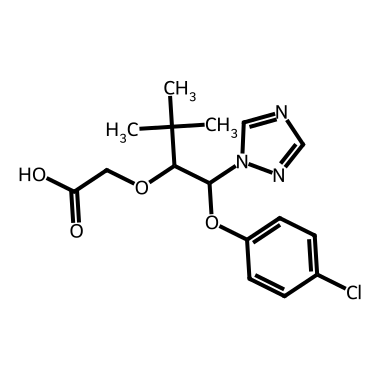 CC(C)(C)C(OCC(=O)O)C(Oc1ccc(Cl)cc1)n1cncn1